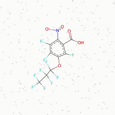 O=C(O)c1c(F)c(OC(F)(F)C(F)(F)C(F)(F)F)c(F)c(F)c1[N+](=O)[O-]